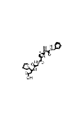 O=C(O)CC(NC(=O)CNC(=O)c1csc(NC(=O)NCc2ccccc2)n1)C1CCCCC1